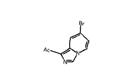 CC(=O)c1ncn2ccc(Br)cc12